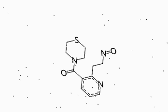 O=NCCc1ncccc1C(=O)N1CCSCC1